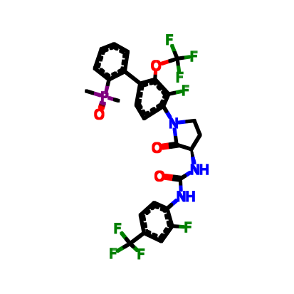 CP(C)(=O)c1ccccc1-c1ccc(N2CC[C@@H](NC(=O)Nc3ccc(C(F)(F)F)cc3F)C2=O)c(F)c1OC(F)(F)F